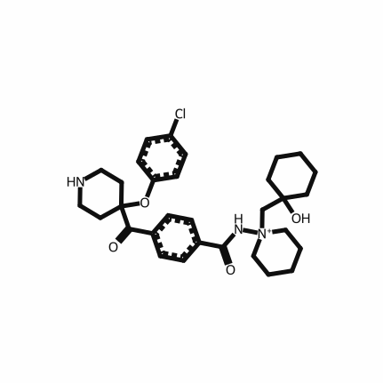 O=C(N[N+]1(CC2(O)CCCCC2)CCCCC1)c1ccc(C(=O)C2(Oc3ccc(Cl)cc3)CCNCC2)cc1